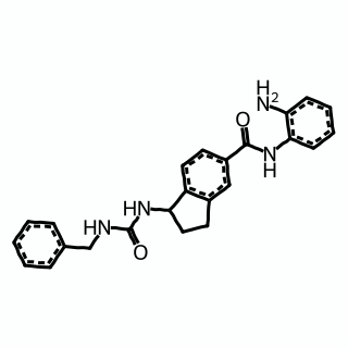 Nc1ccccc1NC(=O)c1ccc2c(c1)CCC2NC(=O)NCc1ccccc1